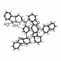 CC1(C)c2ccccc2C2=CC=C(N(c3ccc(-c4cccc5c4sc4ccccc45)cc3)c3cccc4oc5c(-c6ccc7ccccc7c6)c6c(cc5c34)oc3ccccc36)CC21